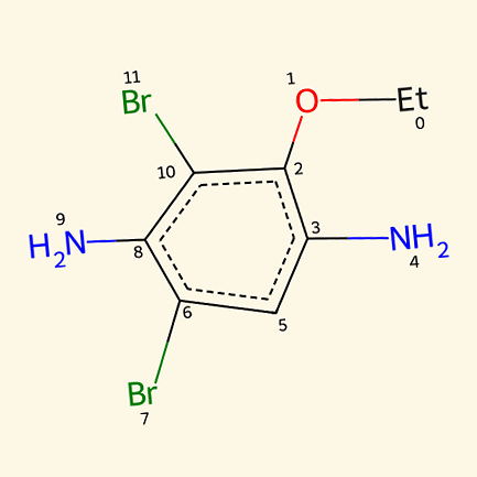 CCOc1c(N)cc(Br)c(N)c1Br